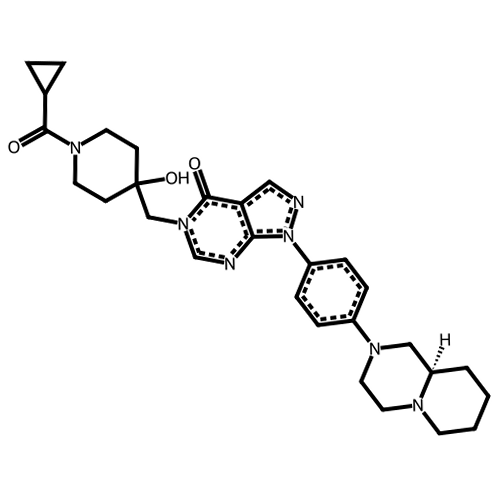 O=C(C1CC1)N1CCC(O)(Cn2cnc3c(cnn3-c3ccc(N4CCN5CCCC[C@@H]5C4)cc3)c2=O)CC1